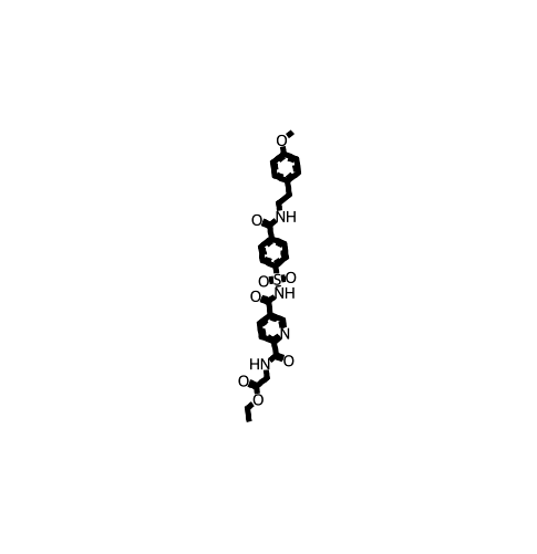 CCOC(=O)CNC(=O)c1ccc(C(=O)NS(=O)(=O)c2ccc(C(=O)NCCc3ccc(OC)cc3)cc2)cn1